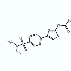 CCC(=O)Nc1nc(-c2ccc(S(=O)(=O)N(C)C)cc2)cs1